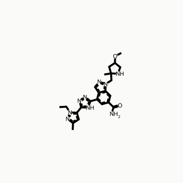 CCn1nc(C)cc1-c1nnc(-c2cc(C(N)=O)cc3c2cnn3CC2(C)CC(OC)CN2)[nH]1